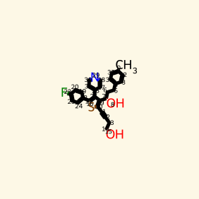 Cc1ccc(CCC(O)c2c(C#CCCO)sc(-c3ccc(F)cc3)c2-c2ccncc2)cc1